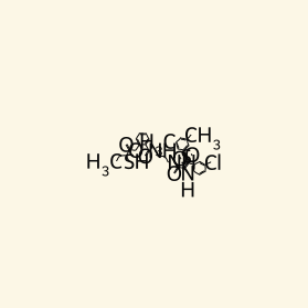 CCC(S)C(=O)Oc1ccccc1C(=O)NCCCNC(=O)c1[nH]c2ccc(Cl)cc2c1S(=O)(=O)c1cc(C)cc(C)c1